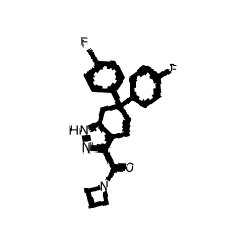 O=C(c1n[nH]c2c1C=CC(c1ccc(F)cc1)(c1ccc(F)cc1)C2)N1CCC1